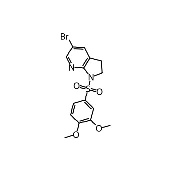 COc1ccc(S(=O)(=O)N2CCc3cc(Br)cnc32)cc1OC